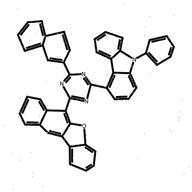 c1ccc(-n2c3ccccc3c3c(-c4nc(-c5ccc6ccccc6c5)nc(-c5c6ccccc6cc6c5oc5ccccc56)n4)cccc32)cc1